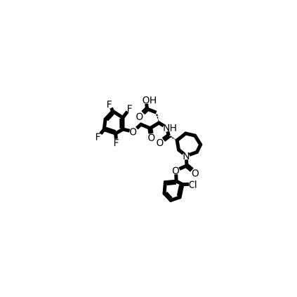 O=C(O)C[C@H](NC(=O)[C@@H]1CCCCN(C(=O)Oc2ccccc2Cl)C1)C(=O)COc1c(F)c(F)cc(F)c1F